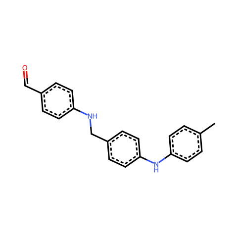 Cc1ccc(Nc2ccc(CNc3ccc(C=O)cc3)cc2)cc1